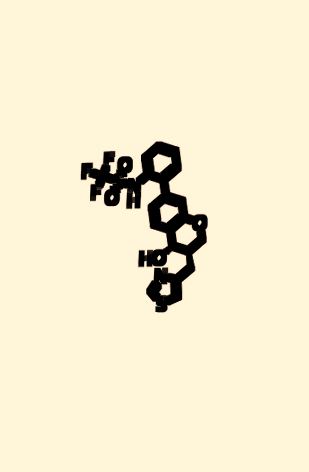 O=S(=O)(Nc1ccccc1-c1ccc2c(c1)OC[C@@H](Cc1cscn1)[C@@H]2O)C(F)(F)F